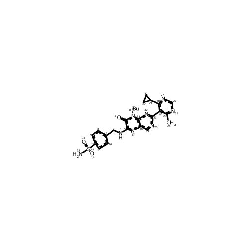 CC[C@@H](C)n1c(=O)c(NCc2ccc(S(N)(=O)=O)cc2)nc2cnc(-c3c(C)ncnc3C3CC3)nc21